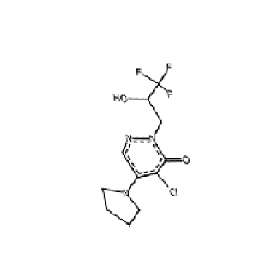 O=c1c(Cl)c(N2C[CH]CC2)cnn1CC(O)C(F)(F)F